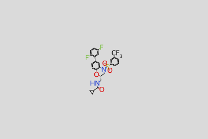 O=C(NC[C@H]1CN(S(=O)(=O)c2cccc(C(F)(F)F)c2)c2cc(-c3cc(F)ccc3F)ccc2O1)C1CC1